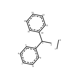 CC.CC(c1ccccc1)c1ccccc1